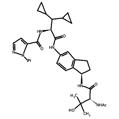 CC(=O)N[C@@H](C(=O)N[C@@H]1CCc2cc(NC(=O)[C@@H](NC(=O)c3ccnn3C(C)C)C(C3CC3)C3CC3)ccc21)C(C)(C)O